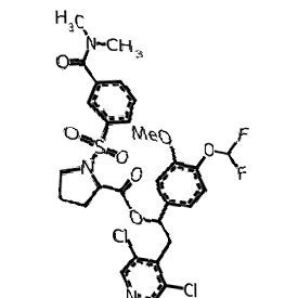 COc1cc(C(Cc2c(Cl)cncc2Cl)OC(=O)C2CCCN2S(=O)(=O)c2cccc(C(=O)N(C)C)c2)ccc1OC(F)F